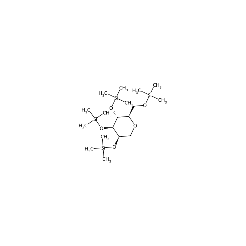 C[Si](C)(C)OC[C@H]1O[CH][C@@H](O[Si](C)(C)C)[C@@H](O[Si](C)(C)C)[C@@H]1O[Si](C)(C)C